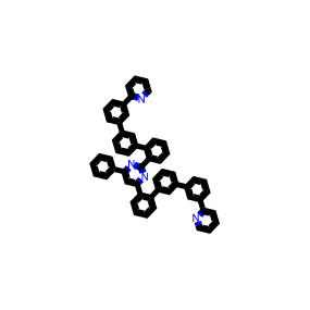 c1ccc(-c2cc(-c3ccccc3-c3cccc(-c4cccc(-c5ccccn5)c4)c3)nc(-c3ccccc3-c3cccc(-c4cccc(-c5ccccn5)c4)c3)n2)cc1